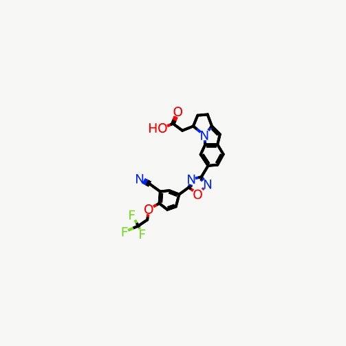 N#Cc1cc(-c2nc(-c3ccc4cc5n(c4c3)C(CC(=O)O)CC5)no2)ccc1OCC(F)(F)F